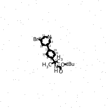 CC(C)(C)OC(=O)NC(C)(C)c1ccc(-c2cncc(Br)c2)cc1